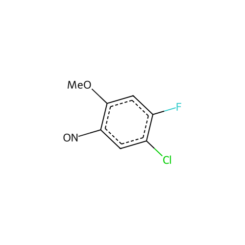 COc1cc(F)c(Cl)cc1N=O